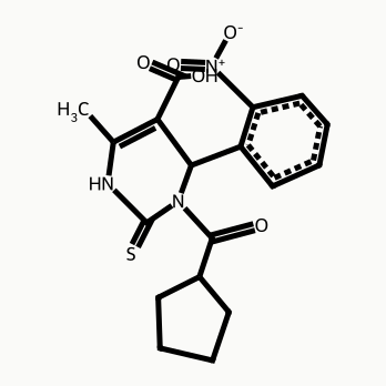 CC1=C(C(=O)O)C(c2ccccc2[N+](=O)[O-])N(C(=O)C2CCCC2)C(=S)N1